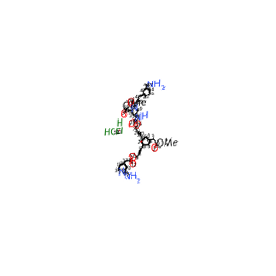 COC(=O)Cc1cc(C#CCOC(=O)Cc2ccnc(N)c2)cc(C#CCOC(=O)NC2CC(C(=O)OC)N(C(=O)CCc3cccc(CN)c3)C2)c1.Cl.Cl